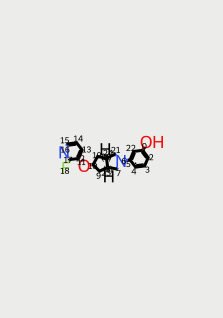 Oc1cc[c]c(N2C[C@H]3CC(Oc4cccnc4F)C[C@H]3C2)c1